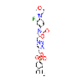 Cc1ccc(S(=O)(=O)OCc2cn(C[C@H]3CN(c4ccc(N5CCOCC5)c(F)c4)C(=O)O3)nn2)cc1